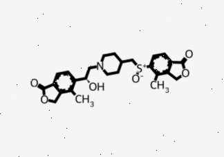 Cc1c([C@@H](O)CN2CCC(C[S+]([O-])c3ccc4c(c3C)COC4=O)CC2)ccc2c1COC2=O